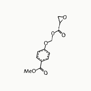 COC(=O)c1ccc(OCOC(=O)C2CO2)cc1